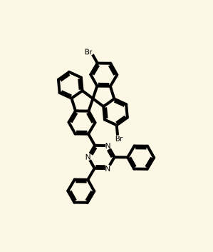 Brc1ccc2c(c1)C1(c3ccccc3-c3ccc(-c4nc(-c5ccccc5)nc(-c5ccccc5)n4)cc31)c1cc(Br)ccc1-2